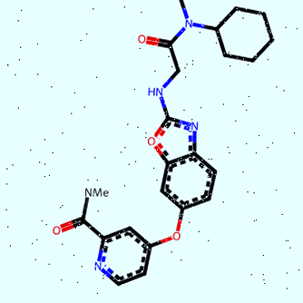 CNC(=O)c1cc(Oc2ccc3nc(NCC(=O)N(C)C4CCCCC4)oc3c2)ccn1